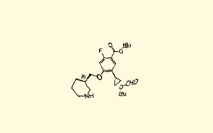 CC(C)(C)OC(=O)c1cc(C2CC2)c(OC[C@@H]2CCCNC2)cc1F.CC(C)(C)OC=O